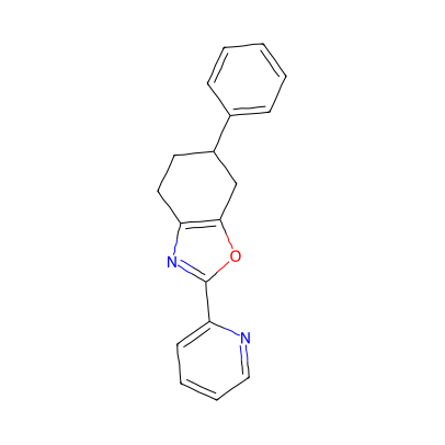 c1ccc(C2CCc3nc(-c4ccccn4)oc3C2)cc1